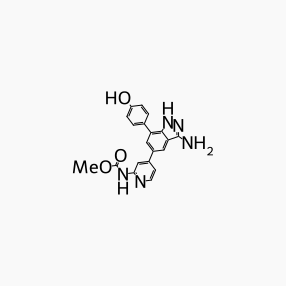 COC(=O)Nc1cc(-c2cc(-c3ccc(O)cc3)c3[nH]nc(N)c3c2)ccn1